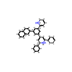 C1=CCCC(C2=CC(c3cc(C4=CC=CCN4)cc(-c4ccc5ccccc5c4)c3)=CC(c3ccccc3)N2)=C1